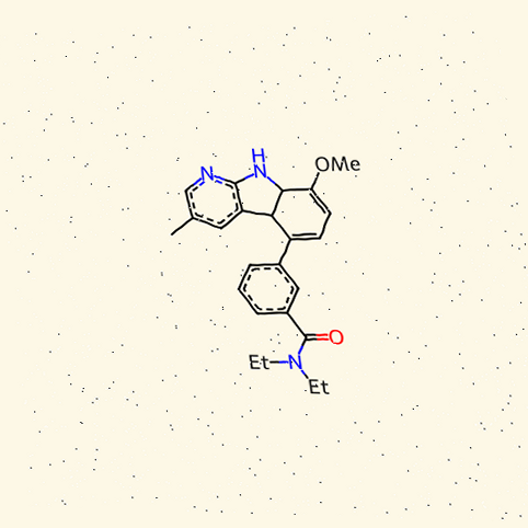 CCN(CC)C(=O)c1cccc(C2=CC=C(OC)C3Nc4ncc(C)cc4C23)c1